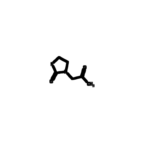 CC(=O)CN1CCSC1=O